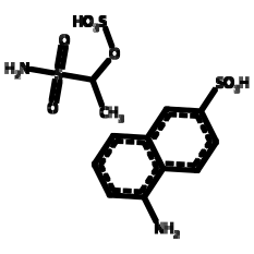 CC(OS(=O)(=O)O)S(N)(=O)=O.Nc1cccc2cc(S(=O)(=O)O)ccc12